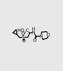 O=C(O)C(CS(=O)(=O)CC1CC1)NC(=O)N1CCOCC1